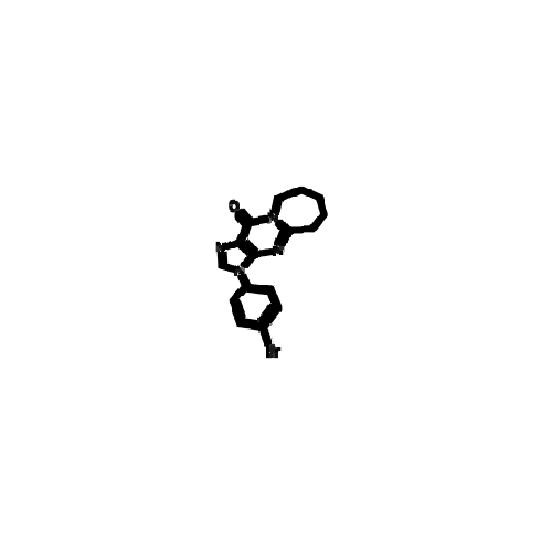 O=c1c2ncn(-c3ccc(Br)cc3)c2nc2n1CCCCC2